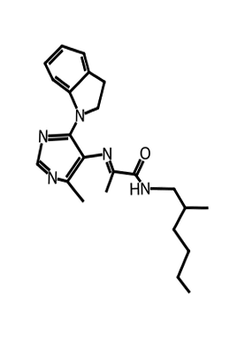 CCCCC(C)CNC(=O)/C(C)=N/c1c(C)ncnc1N1CCc2ccccc21